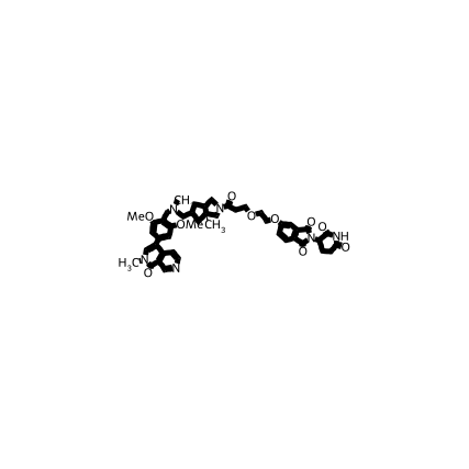 COc1cc(-c2cn(C)c(=O)c3cnccc23)cc(OC)c1CN(C)CC1CC2CN(C(=O)CCOCCOc3ccc4c(c3)C(=O)N(C3CCC(=O)NC3=O)C4=O)C[C@@]2(C)C1